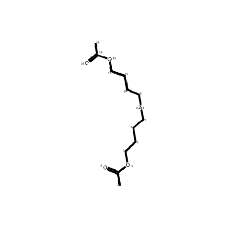 CC(=O)OCCC[CH2][Zn][CH2]CCCOC(C)=O